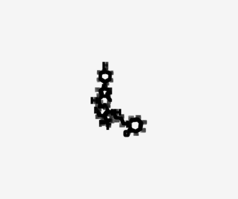 Cc1nn(C2CCNCC2)cc1Nc1ncc(C(F)(F)F)c(NCCCN2C=CC=CCC2=O)n1